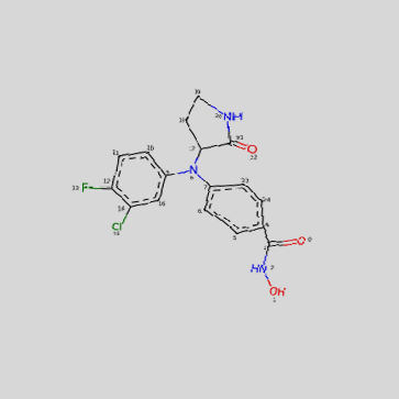 O=C(NO)c1ccc(N(c2ccc(F)c(Cl)c2)C2CCNC2=O)cc1